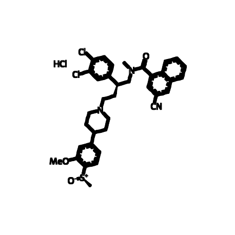 COc1cc(C2CCN(CC[C@H](CN(C)C(=O)c3cc(C#N)cc4ccccc34)c3ccc(Cl)c(Cl)c3)CC2)ccc1[S@@+](C)[O-].Cl